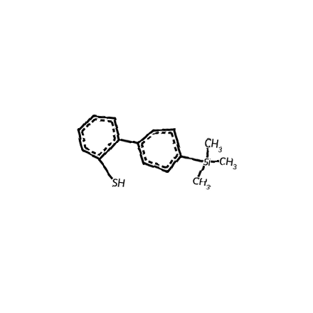 C[Si](C)(C)c1ccc(-c2ccccc2S)cc1